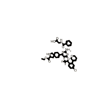 CCOC(=O)C1CC2(CC=C(c3cc(OC(c4ccc(Cl)cc4C4=CCCOC4)C(F)(F)F)nc(N)n3)CC2)CN1.O=C(O)CNC(=O)c1ccccc1